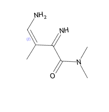 C/C(=C/N)C(=N)C(=O)N(C)C